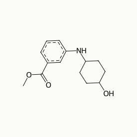 COC(=O)c1cccc(NC2CCC(O)CC2)c1